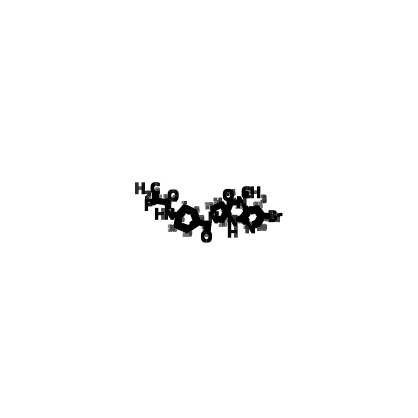 C=C(F)C(=O)Nc1ccc(C(=O)N2CCC3(C2)Nc2ncc(Br)cc2N(C)C3=O)cc1